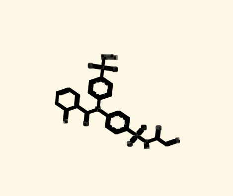 CC(=O)NS(=O)(=O)c1ccc(N(C(=O)C2=CC=CCC2=S)c2ccc(S(=O)(=O)NC(=O)C=S)cc2)cc1